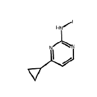 INc1nccc(C2CC2)n1